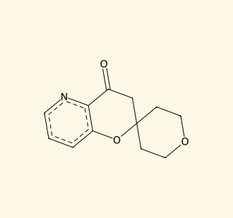 O=C1CC2(CCOCC2)Oc2cccnc21